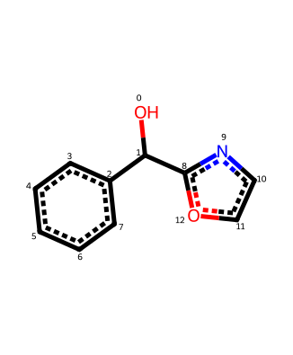 OC(c1ccccc1)c1ncco1